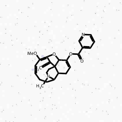 C=C1/C2=C(OC)\C=C/CCC3C4CC=C(OC(=O)c5cccnc5)C(O2)C14CCN3C